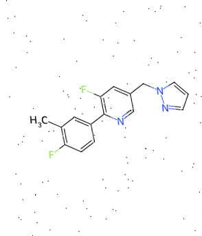 Cc1cc(-c2ncc(Cn3cccn3)cc2F)ccc1F